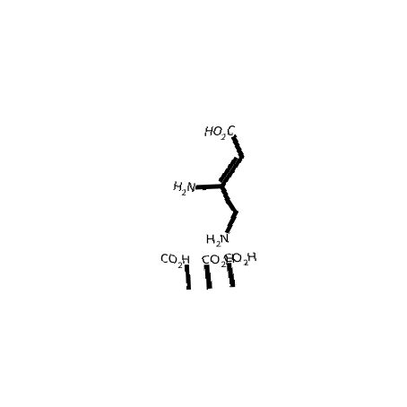 CC(=O)O.CC(=O)O.CC(=O)O.NCC(N)=CC(=O)O